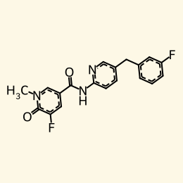 Cn1cc(C(=O)Nc2ccc(Cc3cccc(F)c3)cn2)cc(F)c1=O